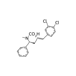 CN(C(=O)O)[C@@H](C/C=C/c1ccc(Cl)c(Cl)c1)c1ccccc1